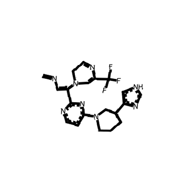 C=N/C=C(/c1nccc(N2CCCC(c3c[nH]cn3)C2)n1)N1C=C(C(F)(F)F)N=CC1